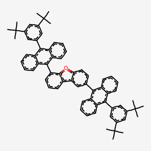 CC(C)(C)c1cc(-c2c3ccccc3c(-c3ccc4oc5c(-c6c7ccccc7c(-c7cc(C(C)(C)C)cc(C(C)(C)C)c7)c7ccccc67)cccc5c4c3)c3ccccc23)cc(C(C)(C)C)c1